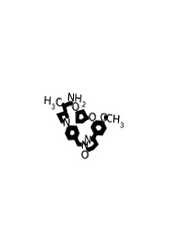 COc1ccc(C2=NN(Cc3ccc(N4CCC(C(C)C(N)=O)C4)cc3)C(=O)CC2)cc1OC1CCCC1